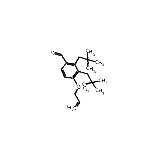 C=CCOc1ccc(C=O)c(CC(C)(C)C)c1CC(C)(C)C